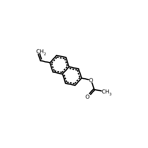 C=Cc1ccc2cc(OC(C)=O)ccc2c1